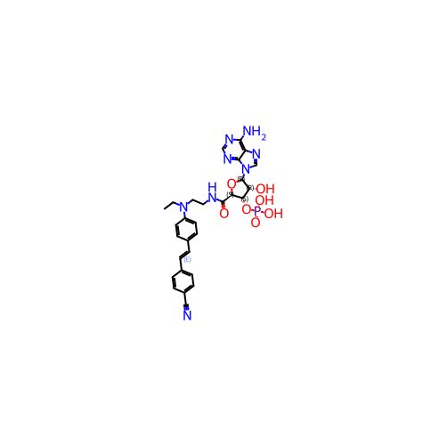 CCN(CCNC(=O)[C@H]1O[C@@H](n2cnc3c(N)ncnc32)[C@H](O)[C@@H]1OP(=O)(O)O)c1ccc(/C=C/c2ccc(C#N)cc2)cc1